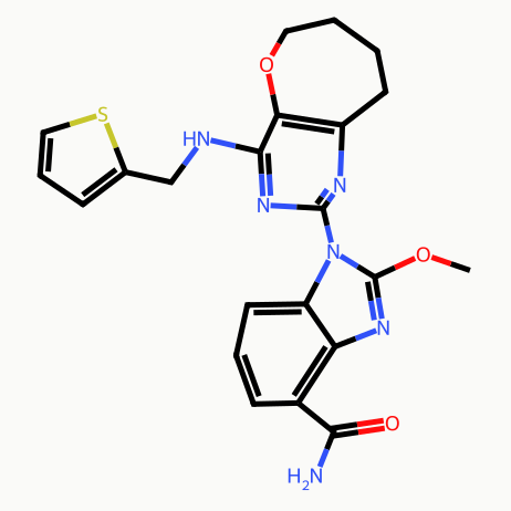 COc1nc2c(C(N)=O)cccc2n1-c1nc2c(c(NCc3cccs3)n1)OCCCC2